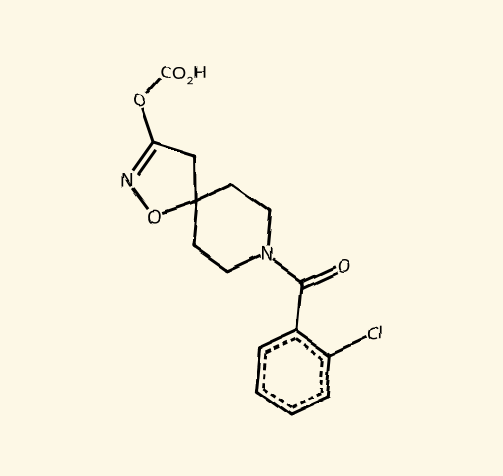 O=C(O)OC1=NOC2(CCN(C(=O)c3ccccc3Cl)CC2)C1